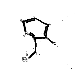 CCC(C)Cc1ncccc1F